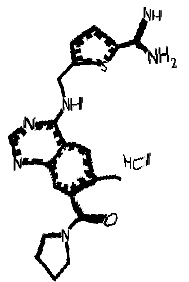 Cc1cc2c(NCc3ccc(C(=N)N)s3)ncnc2cc1C(=O)N1CCCC1.Cl